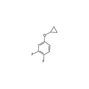 Fc1[c]c(OC2CC2)ccc1F